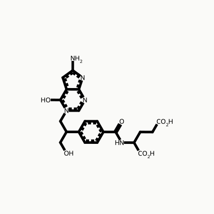 Nc1cc2c(O)n(CC(CO)c3ccc(C(=O)NC(CCC(=O)O)C(=O)O)cc3)cnc-2n1